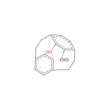 O=Cc1c2ccc(c1O)CCc1ccc(cc1)CC2